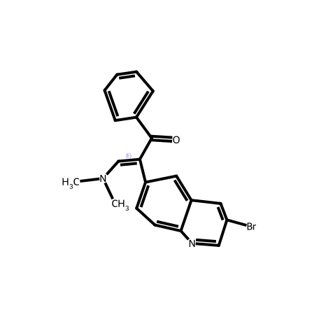 CN(C)/C=C(/C(=O)c1ccccc1)c1ccc2ncc(Br)cc2c1